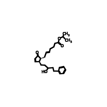 CC(C)OC(=O)CCCC=CC[C@H]1C(=O)C=C[C@@H]1CCC(O)CCc1ccccc1